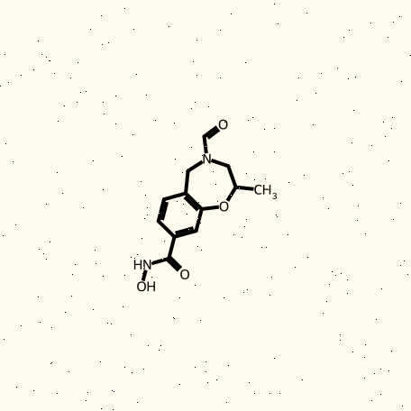 CC1CN(C=O)Cc2ccc(C(=O)NO)cc2O1